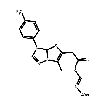 CON=COC(=O)CC1=C(C)N2N=CN(c3ccc(C(F)(F)F)cc3)C2S1